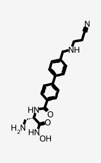 N#CCCNCc1ccc(-c2ccc(C(=O)N[C@@H](CN)C(=O)NO)cc2)cc1